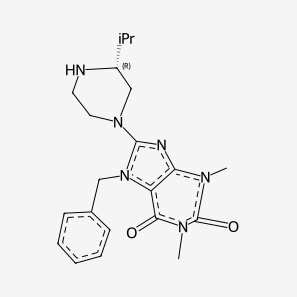 CC(C)[C@@H]1CN(c2nc3c(c(=O)n(C)c(=O)n3C)n2Cc2ccccc2)CCN1